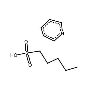 CCCCCS(=O)(=O)O.c1ccncc1